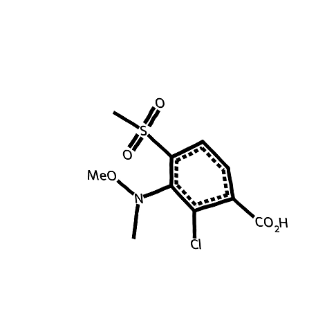 CON(C)c1c(S(C)(=O)=O)ccc(C(=O)O)c1Cl